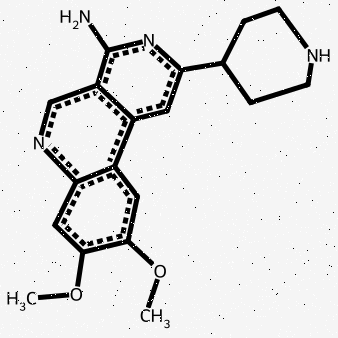 COc1cc2ncc3c(N)nc(C4CCNCC4)cc3c2cc1OC